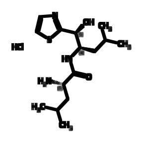 CC(C)C[C@H](N)C(=O)N[C@H](CC(C)C)[C@H](O)c1nccs1.Cl